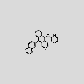 c1ccc(Oc2c3ccccc3c(-c3ccc4ccccc4c3)c3cnccc23)nc1